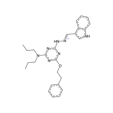 CCCN(CCC)c1nc(N/N=C/c2c[nH]c3ccccc23)nc(OCCc2ccccc2)n1